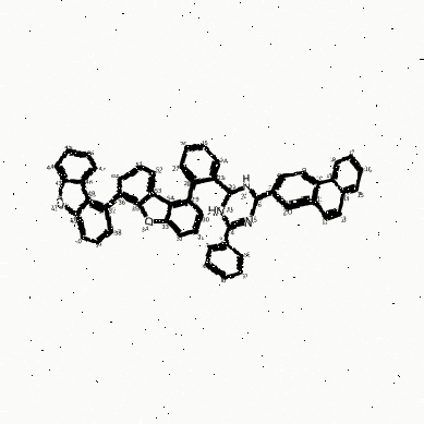 c1ccc(C2=NC(c3ccc4c(ccc5ccccc54)c3)NC(c3ccccc3-c3cccc4oc5c(-c6cccc7oc8ccccc8c67)cccc5c34)N2)cc1